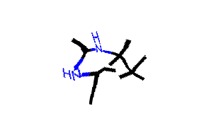 C=C(NC(C)C)NC(C)(C)C(C)(C)C